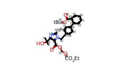 CCCc1nc(C(C)(C)O)c(C(=O)OCOC(=O)OCC)n1Cc1ccc(-c2ccccc2C(=O)OC(C)(C)C)cc1